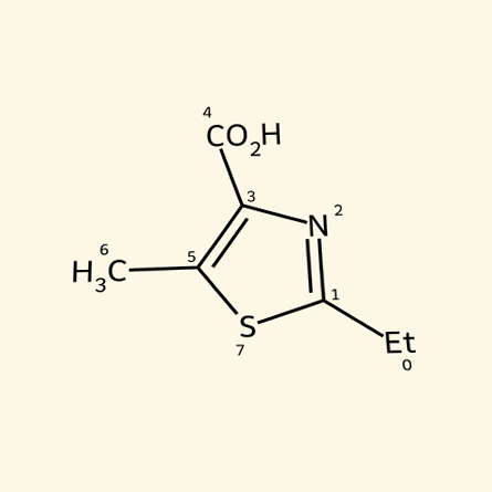 CCc1nc(C(=O)O)c(C)s1